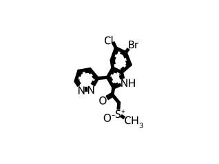 C[S+]([O-])CC(=O)c1[nH]c2cc(Br)c(Cl)cc2c1-c1cccnn1